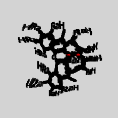 Cc1c2[c]([RaH])[c]([RaH])[c]([RaH])[c]([RaH])c2c(Oc2c3[c]([RaH])[c]([RaH])[c]([RaH])[c]([RaH])c3c(C)c3[c]([RaH])[c]([RaH])[c]([RaH])[c]([RaH])c23)c2[c]([RaH])[c]([RaH])[c]([RaH])[c]([RaH])c12